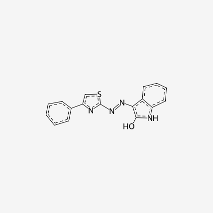 Oc1[nH]c2ccccc2c1/N=N/c1nc(-c2ccccc2)cs1